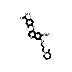 COc1cc2c(Oc3ccc(C(N)=O)cc3F)ccnc2cc1OCCCN1CCCCC1C